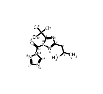 CC(C)Cc1nc(C(Cl)(Cl)Cl)n(C(=O)n2cncn2)n1